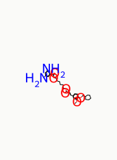 COc1cc(/C=C/C(=O)OCCCCCCOC(=O)c2cc(N)cc(N)c2)ccc1OCC1CCCCC1